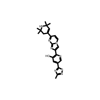 Cc1nsc(-c2cnc(-c3cn4ccc(C5=CC(C)(C)NC(C)(C)C5)nc4n3)c(O)c2)n1